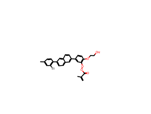 C=C(C)C(=O)OOc1cc(-c2ccc3cc(-c4ccc(C)cc4CC)ccc3c2)ccc1OCCO